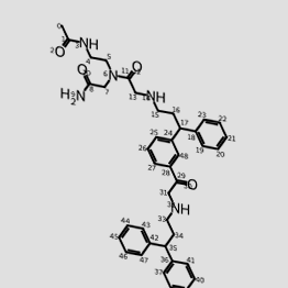 CC(=O)NCCN(CC(N)=O)C(=O)CNCCC(c1ccccc1)c1cccc(C(=O)CNCCC(c2ccccc2)c2ccccc2)c1